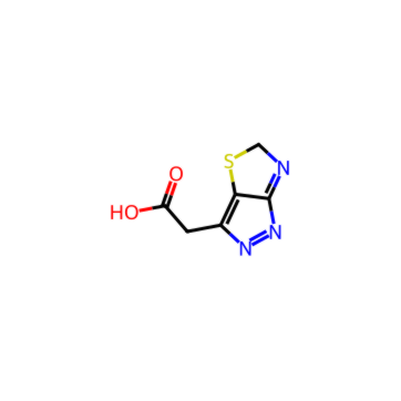 O=C(O)CC1=C2SCN=C2N=N1